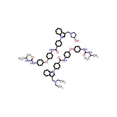 CC(C)NC(=O)Nc1ccc(Oc2ccc(NC(=O)c3ccc(-n4cc(CN5CCC(O)C5)c5ccccc54)cc3)cc2)cc1.CCN(CC)Cc1cn(-c2ccc(C(=O)Nc3ccc(Oc4ccc(NC(=O)NC(C)C)cc4)cc3)cc2)c2ccccc12